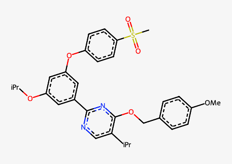 COc1ccc(COc2nc(-c3cc(Oc4ccc(S(C)(=O)=O)cc4)cc(OC(C)C)c3)ncc2C(C)C)cc1